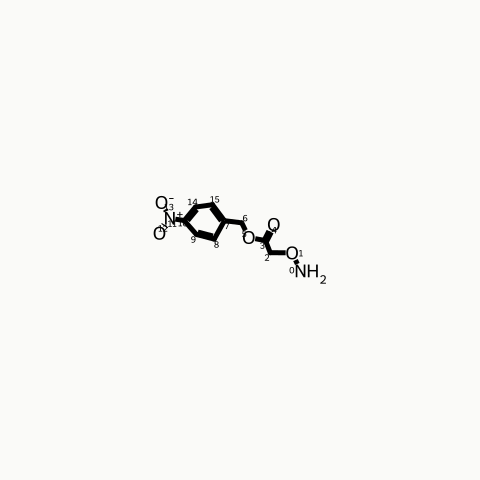 NOCC(=O)OCc1ccc([N+](=O)[O-])cc1